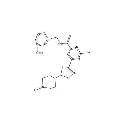 COc1cccc(CNC(=O)c2cc(C3=NOC(C4CCN(C(C)=O)CC4)C3)nc(C)n2)c1